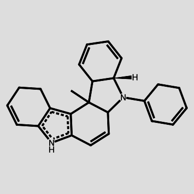 CC12c3c([nH]c4c3CCC=C4)C=CC1N(C1=CC=CCC1)[C@H]1C=CC=CC12